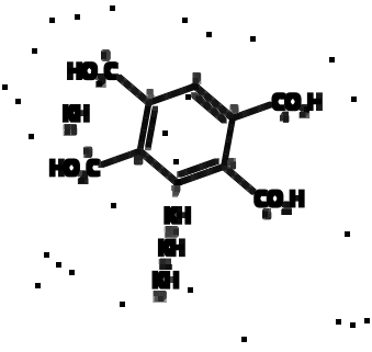 O=C(O)c1cc(C(=O)O)c(C(=O)O)cc1C(=O)O.[KH].[KH].[KH].[KH]